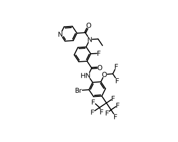 CCN(C(=O)c1ccncc1)c1cccc(C(=O)Nc2c(Br)cc(C(F)(C(F)(F)F)C(F)(F)F)cc2OC(F)F)c1F